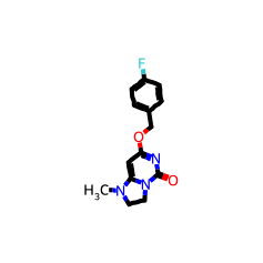 CN1CCn2c1cc(OCc1ccc(F)cc1)nc2=O